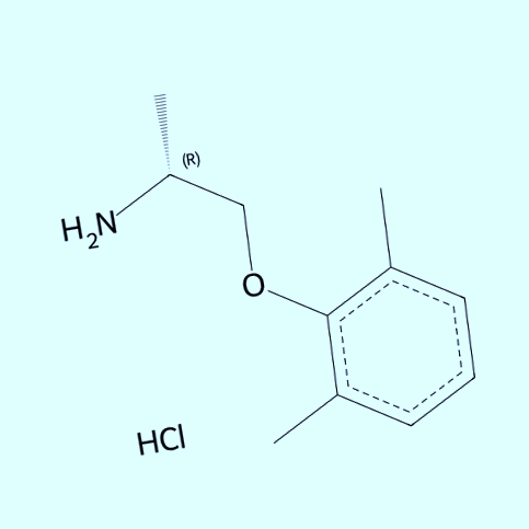 Cc1cccc(C)c1OC[C@@H](C)N.Cl